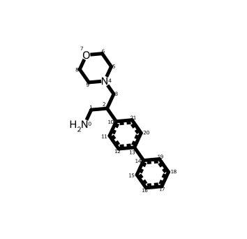 NCC(CN1CCOCC1)c1ccc(-c2ccccc2)cc1